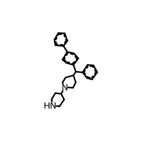 c1ccc(-c2ccc(C(c3ccccc3)C3CCN(C4CCNCC4)CC3)cc2)cc1